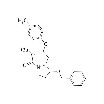 Cc1ccc(OCCC2C(OCc3ccccc3)CCN2C(=O)OC(C)(C)C)cc1